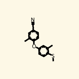 CSc1ccc(Oc2ccc(C#N)cc2C)cc1C